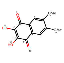 COc1cc2c(cc1OC)C(=O)C(O)=C(O)C2=O